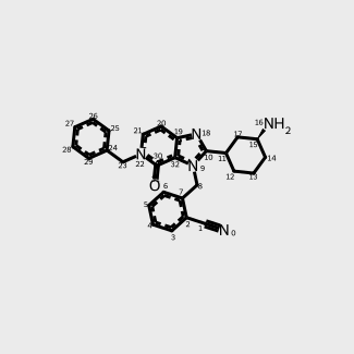 N#Cc1ccccc1Cn1c(C2CCC[C@H](N)C2)nc2ccn(Cc3ccccc3)c(=O)c21